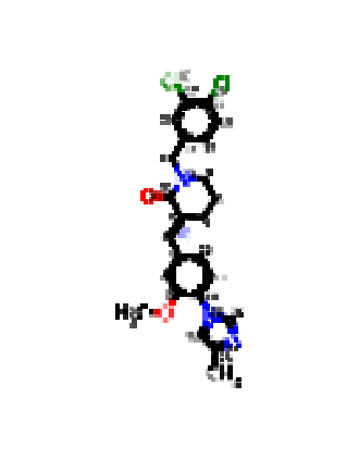 COc1cc(/C=C2\CCCN(Cc3ccc(Cl)c(Cl)c3)C2=O)ccc1-n1cnc(C)c1